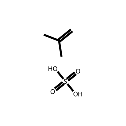 C=C(C)C.O=S(=O)(O)O